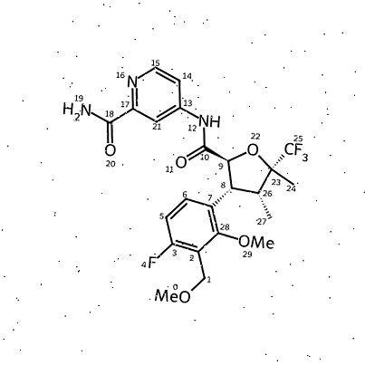 COCc1c(F)ccc([C@@H]2[C@@H](C(=O)Nc3ccnc(C(N)=O)c3)O[C@](C)(C(F)(F)F)[C@@H]2C)c1OC